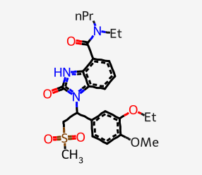 CCCN(CC)C(=O)c1cccc2c1[nH]c(=O)n2C(CS(C)(=O)=O)c1ccc(OC)c(OCC)c1